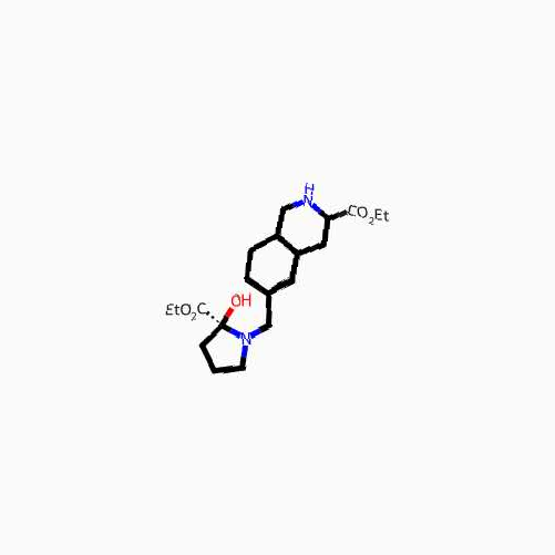 CCOC(=O)C1CC2CC(CN3CCC[C@]3(O)C(=O)OCC)CCC2CN1